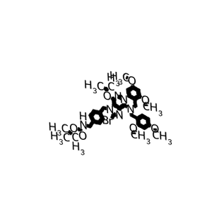 COc1ccc(CN(Cc2ccc(OC)cc2OC)c2nnc(OC(C)C)c3c2nc(Br)n3Cc2ccc(CNC(=O)OC(C)(C)C)cc2)c(OC)c1